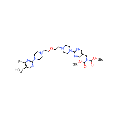 CCc1nc(N2CCN(CCOCCN3CCN(c4ncc(CN(C(=O)OC(C)(C)C)C(=O)OC(C)(C)C)cn4)CC3)CC2)ncc1C(=O)O